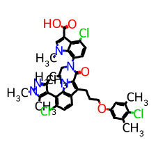 Cc1cc(OCCCc2c3n(c4c(-c5c(C)nn(C)c5C)c(Cl)ccc24)C(C)CN(c2ccc(Cl)c4c(C(=O)O)cn(C)c24)C3=O)cc(C)c1Cl